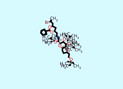 C=C(Br)CC(CCC/C=C/C(O[Si](C)(C)C(C)(C)C)[C@@H]1OC2CCC(CCO[Si](CC)(CC)CC)O[C@@H]2C(O[Si](C)(C)C(C)(C)C)C1O[Si](C)(C)C(C)(C)C)OC(=O)c1ccccc1